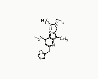 CN[C@@H](C)Cc1sc2c(N)cc(Cc3ccco3)nc2c1C